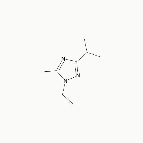 CCn1nc(C(C)C)nc1C